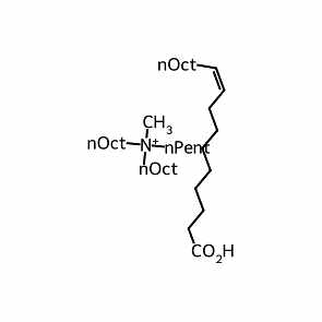 CCCCCCCC/C=C\CCCCCCCC(=O)O.CCCCCCCC[N+](C)(CCCCC)CCCCCCCC